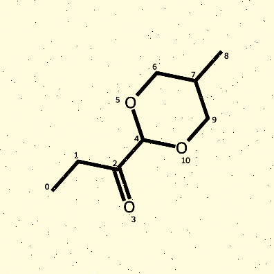 CCC(=O)C1OCC(C)CO1